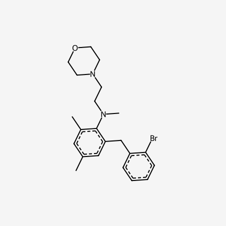 Cc1cc(C)c(N(C)CCN2CCOCC2)c(Cc2ccccc2Br)c1